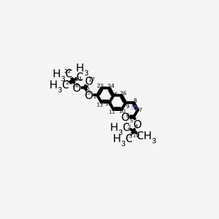 CC(C)(C)OC(=O)/C=C\c1ccc2cc(OC(=O)OC(C)(C)C)ccc2c1